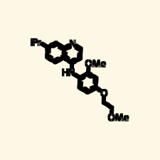 COCCOc1ccc(Nc2ccnc3cc(C(C)C)ccc23)c(OC)c1